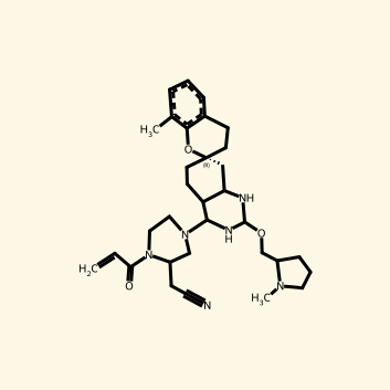 C=CC(=O)N1CCN(C2NC(OCC3CCCN3C)NC3C[C@]4(CCc5cccc(C)c5O4)CCC32)CC1CC#N